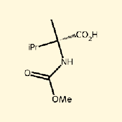 COC(=O)N[C@@](C)(C(=O)O)C(C)C